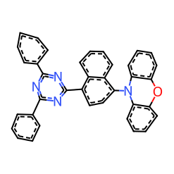 c1ccc(-c2nc(-c3ccccc3)nc(-c3ccc(N4c5ccccc5Oc5ccccc54)c4ccccc34)n2)cc1